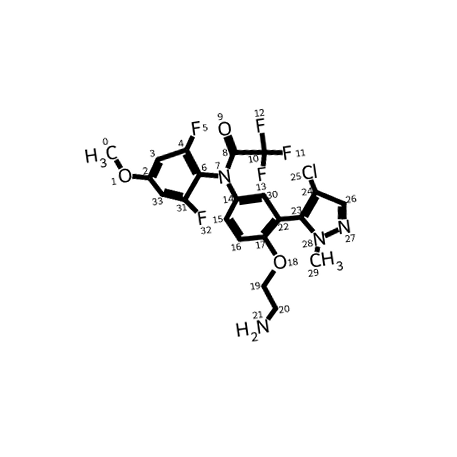 COc1cc(F)c(N(C(=O)C(F)(F)F)c2ccc(OCCN)c(-c3c(Cl)cnn3C)c2)c(F)c1